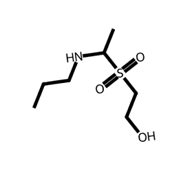 CCCNC(C)S(=O)(=O)CCO